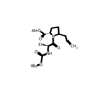 C=CCC1CC[C@@H](C(=O)OC)N1C(=O)[C@H](CC)NC(=O)OC(C)(C)C